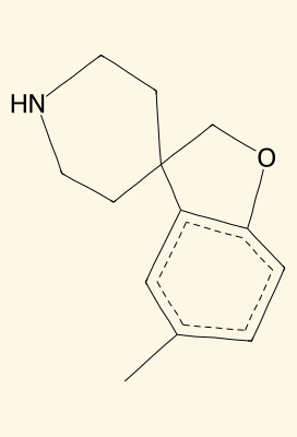 Cc1ccc2c(c1)C1(CCNCC1)CO2